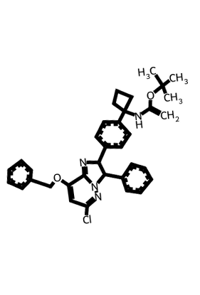 C=C(NC1(c2ccc(C3N=C4C(OCc5ccccc5)=CC(Cl)=NN4C3c3ccccc3)cc2)CCC1)OC(C)(C)C